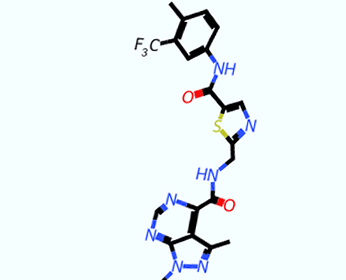 Cc1ccc(NC(=O)c2cnc(CNC(=O)c3ncnc4c3c(C)nn4C)s2)cc1C(F)(F)F